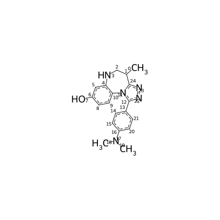 CC1CNc2cc(O)ccc2-n2c(-c3ccc(N(C)C)cc3)nnc21